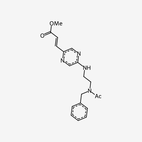 COC(=O)C=Cc1cnc(NCCN(Cc2ccccc2)C(C)=O)cn1